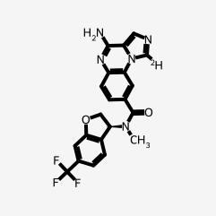 [2H]c1ncc2c(N)nc3ccc(C(=O)N(C)[C@@H]4COc5cc(C(F)(F)F)ccc54)cc3n12